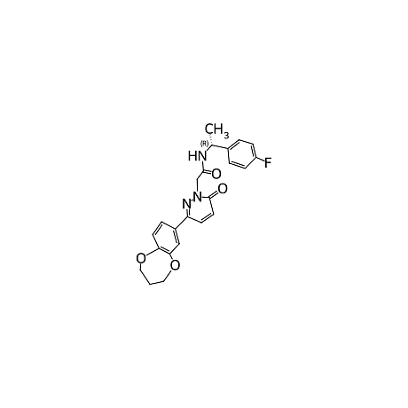 C[C@@H](NC(=O)Cn1nc(-c2ccc3c(c2)OCCCO3)ccc1=O)c1ccc(F)cc1